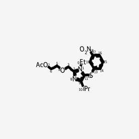 CCn1c(COCCOC(C)=O)nc(C(C)C)c1Sc1cccc([N+](=O)[O-])c1